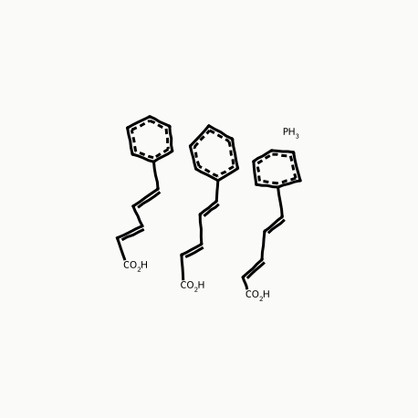 O=C(O)C=CC=Cc1ccccc1.O=C(O)C=CC=Cc1ccccc1.O=C(O)C=CC=Cc1ccccc1.P